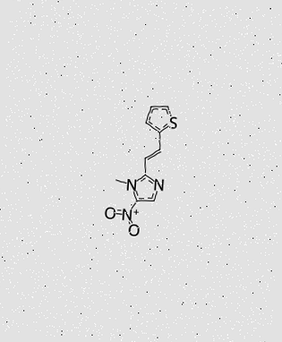 Cn1c([N+](=O)[O-])cnc1/C=C/c1cccs1